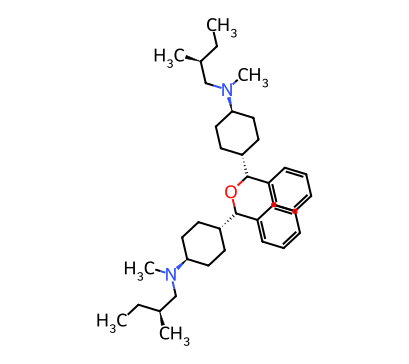 CC[C@H](C)CN(C)[C@H]1CC[C@H](C(OC(c2ccccc2)[C@H]2CC[C@H](N(C)C[C@@H](C)CC)CC2)c2ccccc2)CC1